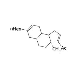 CCCCCCC1=CCC2C(CC[C@]3(C)C(C(C)=O)=CCC23)C1